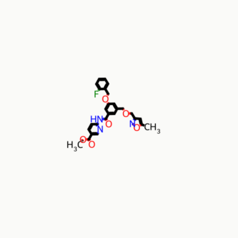 COC(=O)c1ccc(NC(=O)c2cc(COCc3cc(C)on3)cc(OCc3ccccc3F)c2)nc1